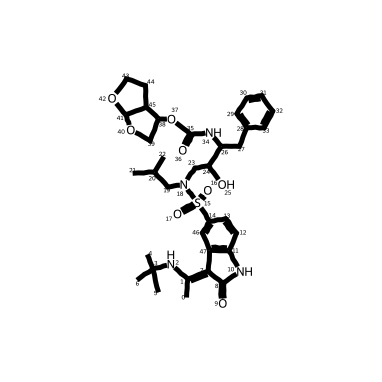 C/C(NC(C)(C)C)=C1\C(=O)Nc2ccc(S(=O)(=O)N(CC(C)C)CC(O)C(Cc3ccccc3)NC(=O)OC3COC4OCCC34)cc21